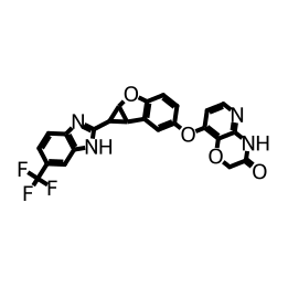 O=C1COc2c(Oc3ccc4c(c3)C3C(O4)C3c3nc4ccc(C(F)(F)F)cc4[nH]3)ccnc2N1